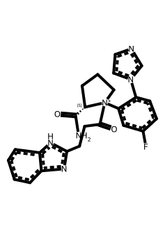 NC(=O)[C@@H]1CCC[N+]1(C(=O)CCc1nc2ccccc2[nH]1)c1cc(F)ccc1-n1ccnc1